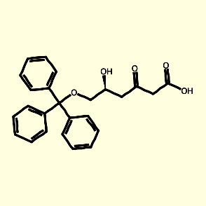 O=C(O)CC(=O)C[C@H](O)COC(c1ccccc1)(c1ccccc1)c1ccccc1